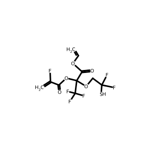 C=COC(=O)C(OCC(F)(F)S)(OC(=O)C(=C)F)C(F)(F)F